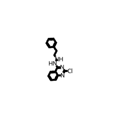 Clc1nc(NNCCc2ccccc2)c2ccccc2n1